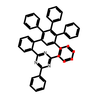 c1ccc(-c2nc(-c3ccccc3)nc(-c3ccccc3-c3cc(-c4ccccc4)c(-c4ccccc4)c(-c4ccccc4)c3-c3ccccc3)n2)cc1